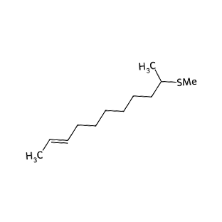 CC=CCCCCCCC(C)SC